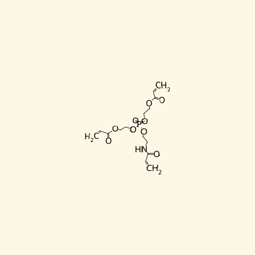 C=CC(=O)NCCOP(=O)(OCCOC(=O)C=C)OCCOC(=O)C=C